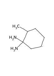 CC1CC[CH]CC1(N)N